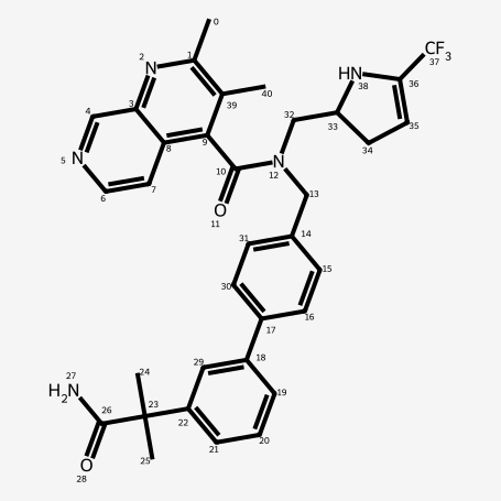 Cc1nc2cnccc2c(C(=O)N(Cc2ccc(-c3cccc(C(C)(C)C(N)=O)c3)cc2)CC2CC=C(C(F)(F)F)N2)c1C